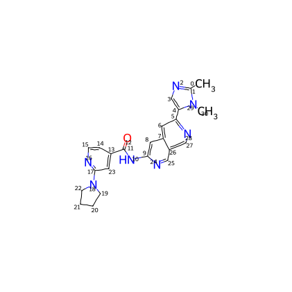 Cc1ncc(-c2cc3cc(NC(=O)c4ccnc(N5CCCC5)c4)ncc3cn2)n1C